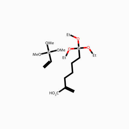 C=C(CCCC[Si](OCC)(OCC)OCC)C(=O)O.C=C[Si](OC)(OC)OC